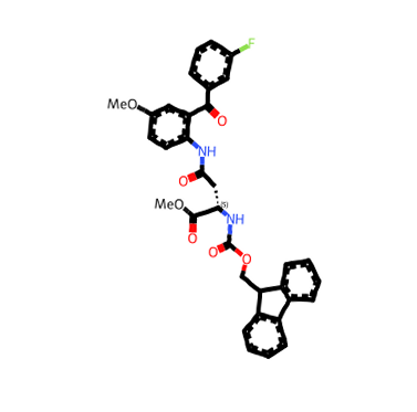 COC(=O)[C@H](CC(=O)Nc1ccc(OC)cc1C(=O)c1cccc(F)c1)NC(=O)OCC1c2ccccc2-c2ccccc21